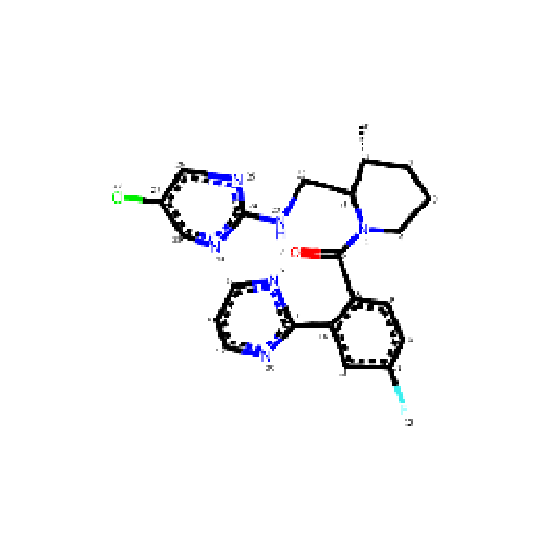 C[C@@H]1CCCN(C(=O)c2ccc(F)cc2-c2ncccn2)C1CNc1ncc(Cl)cn1